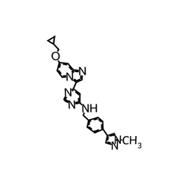 Cn1cc(-c2ccc(CNc3cc(-c4cnc5cc(OCC6CC6)ccn45)ncn3)cc2)cn1